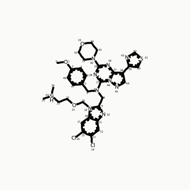 COc1ccc(CN(Cc2nc3cc(Cl)c(Cl)cc3n2COCC[SiH](C)C)c2nc(N3CCOCC3)nc3c(-c4cscn4)cnn23)cc1